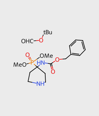 CC(C)(C)OC=O.COP(=O)(OC)C1(NC(=O)OCc2ccccc2)CCNCC1